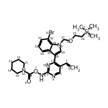 C=Cc1cnc(NOC(=O)N2CCCCC2)nc1-c1cn(COCC[Si](C)(C)C)c2c(Br)cccc12